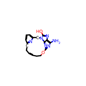 Nc1nc2nc3c1nc(O)n3Cc1cccc(n1)CC/C=C\CCO2